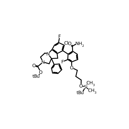 CC(C)(C)OC(=O)N1CCN2c3cc(F)c(Cl)c(-c4c(C(N)=O)ccc(OCCCO[Si](C)(C)C(C)(C)C)c4F)c3CC2(c2ccccc2)C1